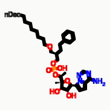 CCCCCCCCCCCCCCCCCCOC[C@@H](CCc1ccccc1)COP(=O)(O)O[C@@H](C)[C@@]1(C)O[C@@H](c2ccc3c(N)ncnn23)[C@H](O)[C@@H]1O